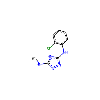 CC(C)Nc1nnc(Nc2ccccc2Cl)[nH]1